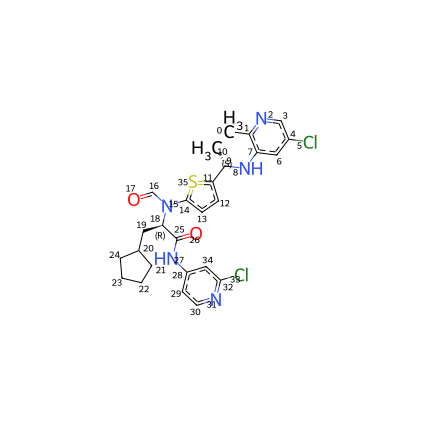 Cc1ncc(Cl)cc1N[C@@H](C)c1ccc(N(C=O)[C@H](CC2CCCC2)C(=O)Nc2ccnc(Cl)c2)s1